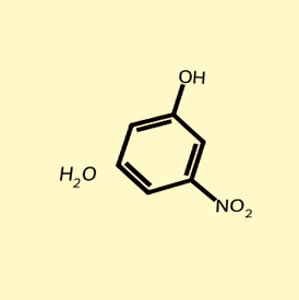 O.O=[N+]([O-])c1cccc(O)c1